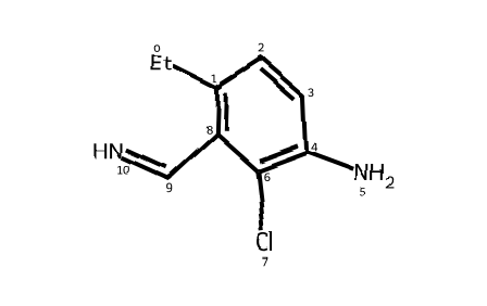 CCc1ccc(N)c(Cl)c1C=N